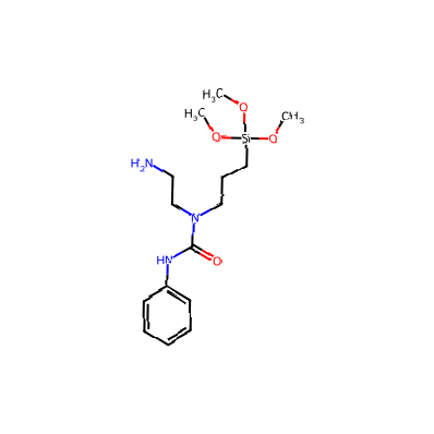 CO[Si](CCCN(CCN)C(=O)Nc1ccccc1)(OC)OC